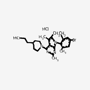 Cc1nc(N2CCC(CCO)CC2)c2c(C)c(C)n(-c3c(C)cc(Br)cc3C)c2n1.Cl